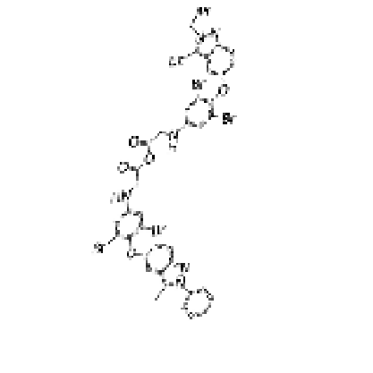 CCc1c2cc(Oc3c(Br)cc(NCC(=O)OC(=O)CNc4cc(Br)c(Oc5ccc6nn(-c7ccccc7)c(C)c6c5)c(Br)c4)cc3Br)ccc2nn1CC(C)C